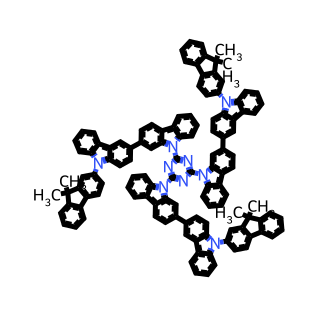 CC1(C)c2ccccc2-c2ccc(-n3c4ccccc4c4cc(-c5ccc6c7ccccc7n(-c7nc(-n8c9ccccc9c9ccc(-c%10ccc%11c(c%10)c%10ccccc%10n%11-c%10ccc%11c(c%10)C(C)(C)c%10ccccc%10-%11)cc98)nc(-n8c9ccccc9c9ccc(-c%10ccc%11c(c%10)c%10ccccc%10n%11-c%10ccc%11c(c%10)C(C)(C)c%10ccccc%10-%11)cc98)n7)c6c5)ccc43)cc21